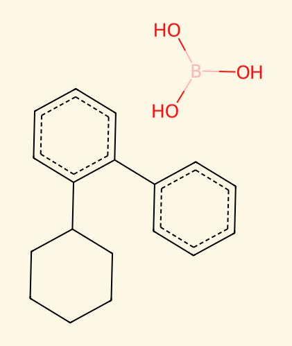 OB(O)O.c1ccc(-c2ccccc2C2CCCCC2)cc1